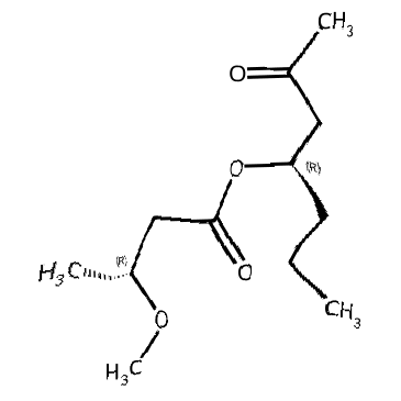 CCC[C@H](CC(C)=O)OC(=O)C[C@@H](C)OC